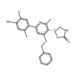 Cc1cc(C(C)(C)C)c(Cl)cc1-c1cc(OCc2ccccc2)c([C@@H]2CNC(=O)O2)c(C)n1